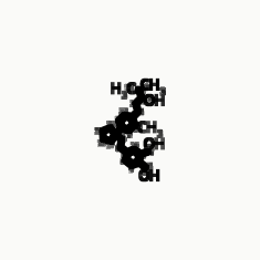 Cc1cc(C2(CCc3ccc(CO)c(CO)c3)CCCC2)ccc1CCC(O)C(C)C